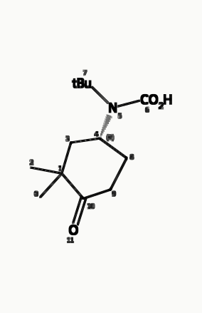 CC1(C)C[C@H](N(C(=O)O)C(C)(C)C)CCC1=O